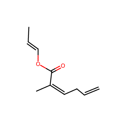 C=CCC=C(C)C(=O)OC=CC